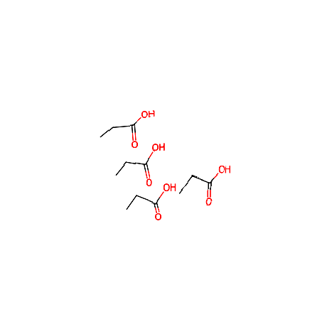 CCC(=O)O.CCC(=O)O.CCC(=O)O.CCC(=O)O